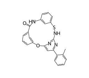 Cc1ccccc1-c1cc2nc(n1)NSc1cccc(c1)NC(=O)c1cccc(c1)O2